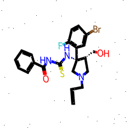 C=CCN1C[C@@H](CO)[C@](NC(=S)NC(=O)c2ccccc2)(c2cc(Br)ccc2F)C1